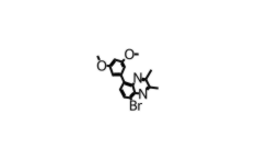 COc1cc(OC)cc(-c2ccc(Br)c3nc(C)c(C)nc23)c1